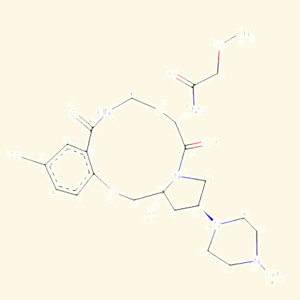 COCC(=O)N[C@H]1CCNC(=O)c2cc(F)ccc2OC[C@@H]2C[C@H](N3CCN(C)CC3)CN2C1=O